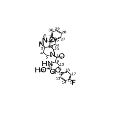 CN1N=C2CCN(C(=O)C(COc3ccc(F)cc3)NC(=O)O)CC2(Cc2ccccc2)C1=O